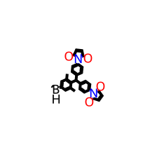 CBc1cc(C)c(C(c2ccc(N3C(=O)C=CC3=O)cc2)c2ccc(N3C(=O)C=CC3=O)cc2)c(C)c1